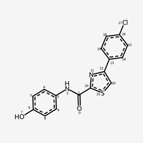 O=C(Nc1ccc(O)cc1)c1nc(-c2ccc(Cl)cc2)cs1